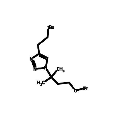 CC(C)OCCC(C)(C)n1cc(CCC(C)(C)C)nn1